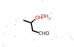 CC(O)CC=O.O